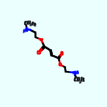 CCOC(=O)NCCOC(=O)/C=C/C(=O)OCCNC(=O)OCC